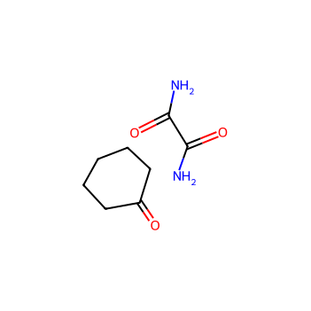 NC(=O)C(N)=O.O=C1CCCCC1